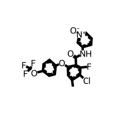 Cc1cc(Oc2ccc(OC(F)(F)F)cc2)c(C(=O)Nc2ccc[n+]([O-])c2)c(F)c1Cl